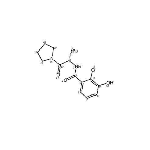 CC(C)(C)[C@H](NC(=O)c1cccc(O)c1Cl)C(=O)N1CCCC1